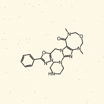 CN1COCN(C)c2nc(N3CCNCC3)n(Cc3nnc(-c4ccccc4)o3)c2C1=O